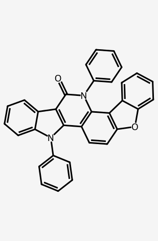 O=c1c2c3ccccc3n(-c3ccccc3)c2c2ccc3oc4ccccc4c3c2n1-c1ccccc1